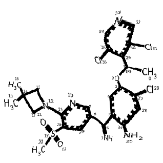 C[C@@H](Oc1cc(C(=N)c2cnc(N3CC(C)(C)C3)c(S(C)(=O)=O)c2)c(N)cc1Cl)c1c(Cl)cncc1Cl